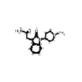 CN1CCC(N2C(=O)C(CC(N)=O)c3ccccc32)CC1